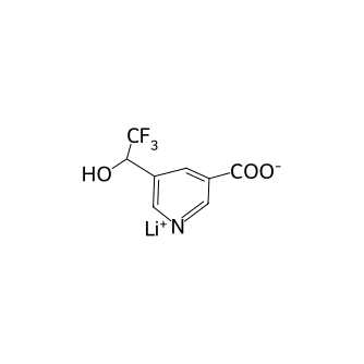 O=C([O-])c1cncc(C(O)C(F)(F)F)c1.[Li+]